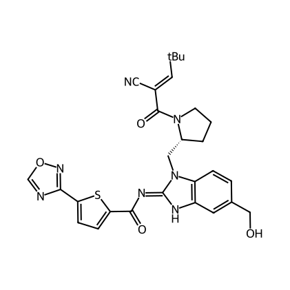 CC(C)(C)/C=C(\C#N)C(=O)N1CCC[C@@H]1Cn1/c(=N/C(=O)c2ccc(-c3ncon3)s2)[nH]c2cc(CO)ccc21